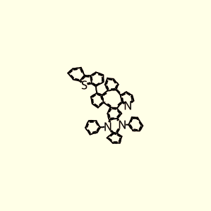 c1ccc(-n2c3ccccc3n(-c3ccccc3)c3cc4c(cc32)c2cccc(-c3cccc5c3sc3ccccc35)c2c2ccccc2c2cccnc24)cc1